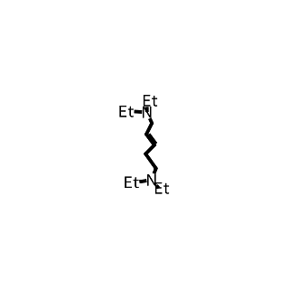 CCN(CC)CC=CCCN(CC)CC